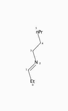 CCC=NCCCCC